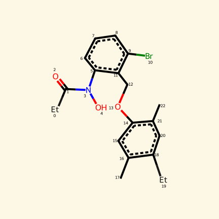 CCC(=O)N(O)c1cccc(Br)c1COc1cc(C)c(CC)cc1C